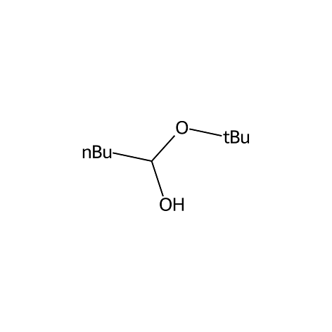 CCCCC(O)OC(C)(C)C